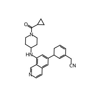 N#CCC1=CC(c2cc(NC3CCN(C(=O)C4CC4)CC3)c3cnccc3c2)CC=C1